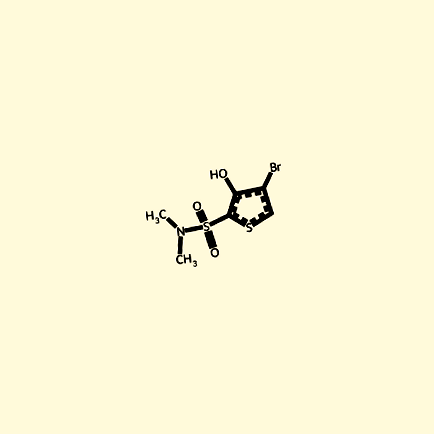 CN(C)S(=O)(=O)c1scc(Br)c1O